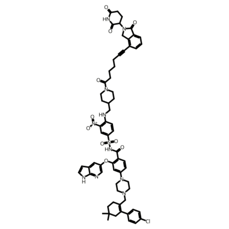 CC1(C)CCC(CN2CCN(c3ccc(C(=O)NS(=O)(=O)c4ccc(NCC5CCN(C(=O)CCCCC#Cc6cccc7c6CN(C6CCC(=O)NC6=O)C7=O)CC5)c([N+](=O)[O-])c4)c(Oc4cnc5[nH]ccc5c4)c3)CC2)=C(c2ccc(Cl)cc2)C1